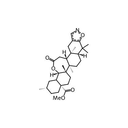 COC(=O)[C@]12CC[C@H](C)CC1[C@@H]1OC(=O)C[C@@H]3[C@@]4(C)Cc5cnoc5C(C)(C)[C@@H]4CC[C@@]3(C)[C@]1(C)CC2